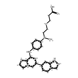 CN(CCOCCC(=O)O)c1ccc(Nc2nc(-c3ccc4cn[nH]c4c3)cn3ccnc23)cc1